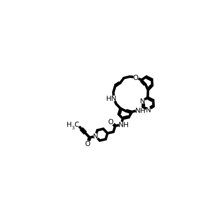 CC#CC(=O)N1CCC(CC(=O)Nc2cc3cc(c2)Nc2nccc(n2)-c2cccc(c2)OCC/C=C/CNC3)CC1